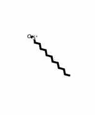 CCCCCCCCCCCC[S+]=O